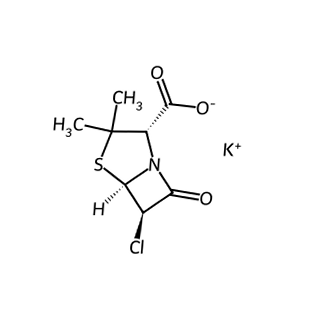 CC1(C)S[C@@H]2[C@H](Cl)C(=O)N2[C@H]1C(=O)[O-].[K+]